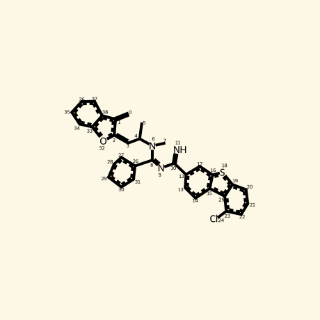 C=c1/c(=C\C(C)N(C)/C(=N\C(=N)c2ccc3c(c2)sc2cccc(Cl)c23)c2ccccc2)oc2ccccc12